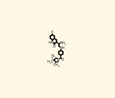 C[C@H]1CN(C(=O)c2ccc(N/C=C(\N)c3cc4cc(F)ccc4[nH]c3=O)cc2)CC1(C)C